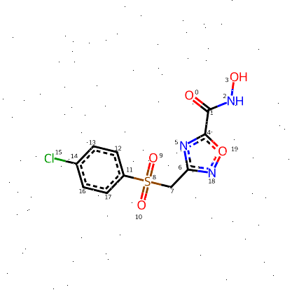 O=C(NO)c1nc(CS(=O)(=O)c2ccc(Cl)cc2)no1